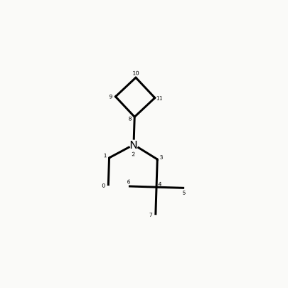 CCN(CC(C)(C)C)C1CCC1